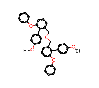 CCOc1ccc(-c2c(COCc3cccc(Oc4ccccc4)c3-c3ccc(OCC)cc3)cccc2Oc2ccccc2)cc1